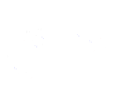 Cc1noc(=O)c2ccc(N3C(=O)C(C)(C)N(CCCCCN4CCN(S(C)(=O)=O)CC4)C3=S)cc12